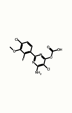 COc1c(Cl)ccc(-c2nc(N)c(Cl)c(OC(=O)O)n2)c1F